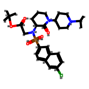 CC(C)N1CCC(N2CCC[C@H](N(CC(=O)OC(C)(C)C)S(=O)(=O)c3ccc4cc(Cl)ccc4c3)C2=O)CC1